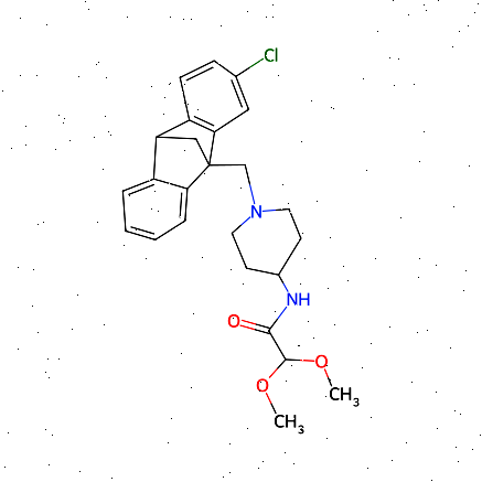 COC(OC)C(=O)NC1CCN(CC23CC(c4ccccc42)c2ccc(Cl)cc23)CC1